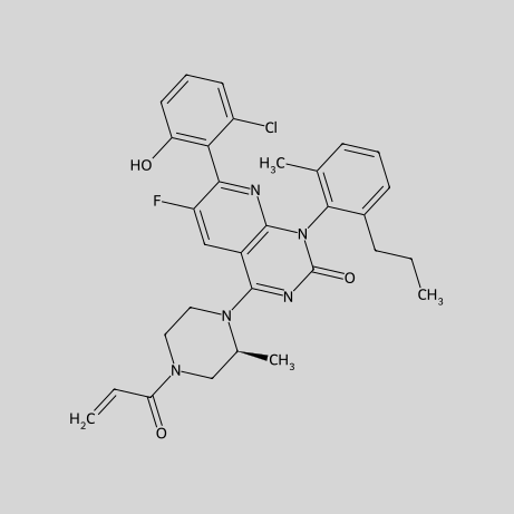 C=CC(=O)N1CCN(c2nc(=O)n(-c3c(C)cccc3CCC)c3nc(-c4c(O)cccc4Cl)c(F)cc23)[C@@H](C)C1